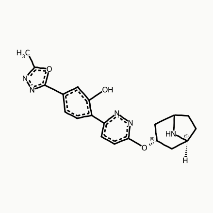 Cc1nnc(-c2ccc(-c3ccc(O[C@@H]4CC5CC[C@@H](C4)N5)nn3)c(O)c2)o1